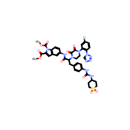 CC(C)(C)OC(=O)c1cc2cc(NC(=O)C(Cc3ccc(NC(=O)NC4CCS(=O)(=O)CC4)cc3)N3CCN(c4cc(Cl)ccc4-n4cnnn4)C(=O)C3=O)ccc2n1C(=O)OC(C)(C)C